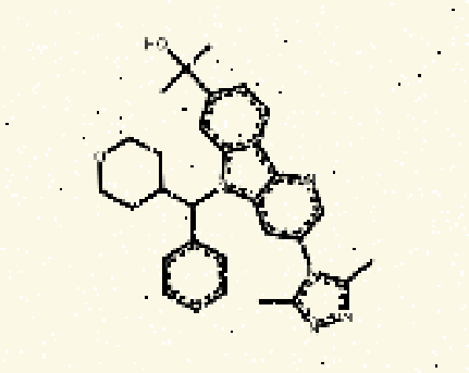 Cc1nnc(C)n1-c1cnc2c3ccc(C(C)(C)O)cc3n(C(c3ccccc3)C3CCOCC3)c2c1